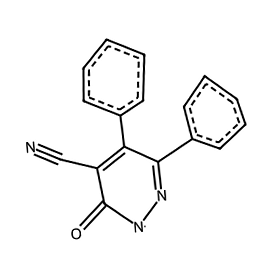 N#CC1=C(c2ccccc2)C(c2ccccc2)=N[N]C1=O